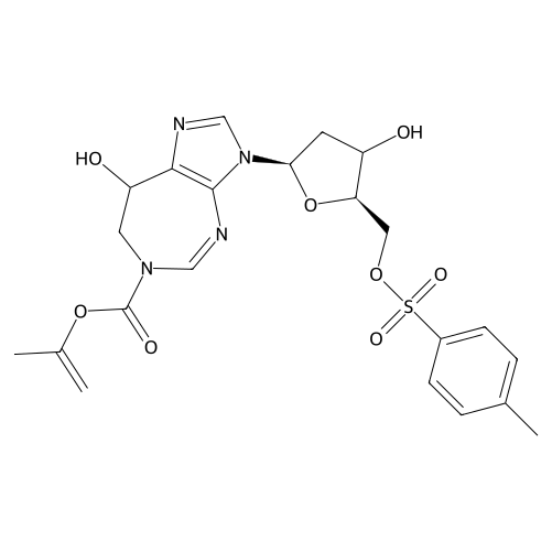 C=C(C)OC(=O)N1C=Nc2c(ncn2[C@H]2CC(O)[C@@H](COS(=O)(=O)c3ccc(C)cc3)O2)C(O)C1